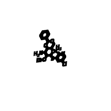 CCOC1C(Sc2cc(Cl)cnc2C)OC2COC(c3ccccc3)OC2C1N